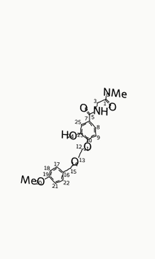 CNC(=O)CNC(=O)c1ccc(OCCOCc2ccc(OC)cc2)c(O)c1